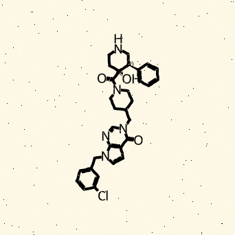 O=C(N1CCC(Cn2cnc3c(ccn3Cc3cccc(Cl)c3)c2=O)CC1)[C@@]1(O)CCNC[C@H]1c1ccccc1